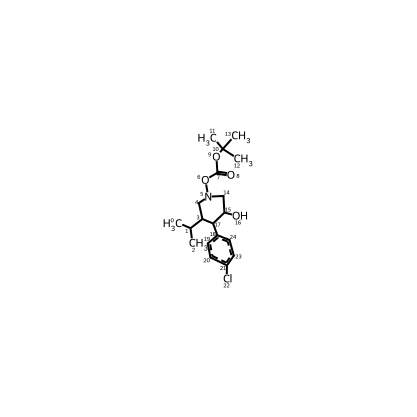 CC(C)C1CN(OC(=O)OC(C)(C)C)CC(O)C1c1ccc(Cl)cc1